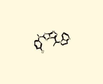 CC(c1nnc2sc(N(C)c3cccc(Cl)c3)nn12)n1ccc2ncccc21